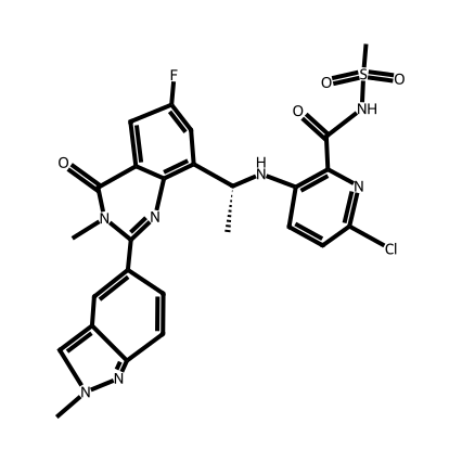 C[C@@H](Nc1ccc(Cl)nc1C(=O)NS(C)(=O)=O)c1cc(F)cc2c(=O)n(C)c(-c3ccc4nn(C)cc4c3)nc12